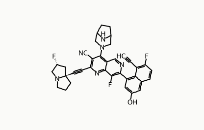 C#Cc1c(F)ccc2cc(O)cc(-c3ncc4c(N5CC6CCC(C5)N6)c(C#N)c(C#C[C@@]56CCCN5C[C@H](F)C6)nc4c3F)c12